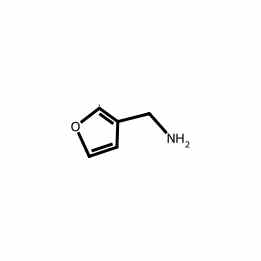 NCc1[c]occ1